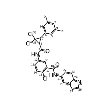 Cc1cc(C)cc(C2C(C(=O)Nc3ccc(Cl)c(C(=O)Nc4ccc5nccn5c4)c3)C2(Cl)Cl)c1